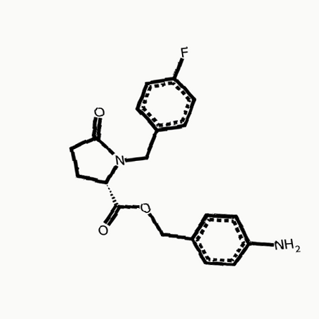 Nc1ccc(COC(=O)[C@@H]2CCC(=O)N2Cc2ccc(F)cc2)cc1